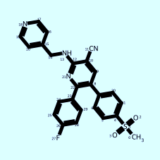 CS(=O)(=O)c1ccc(-c2cc(C#N)c(NCc3ccncc3)nc2-c2ccc(F)cc2)cc1